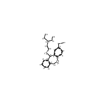 CCc1ccc2c(c1)C(SCCN(CC)CC)c1ccccc1CO2